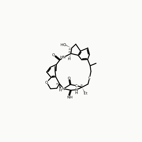 CC[C@]12CCCC(C)c3ccc4c(c3)[C@@H](NC(=O)c3ccc5c(c3)[C@@H](CCO5)N(C(=N)N1)C(=O)C2)[C@H](O)C4